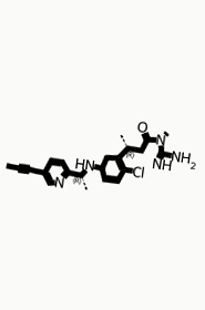 CC#Cc1ccc([C@@H](C)NC2C=CC(Cl)=C([C@H](C)CC(=O)N(C)C(=N)N)C2)nc1